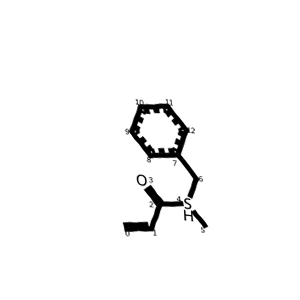 C=CC(=O)[SH](C)Cc1ccccc1